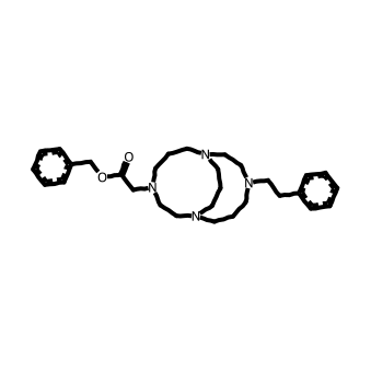 O=C(CN1CCCN2CCCN(CCCN(CCc3ccccc3)CC2)CC1)OCc1ccccc1